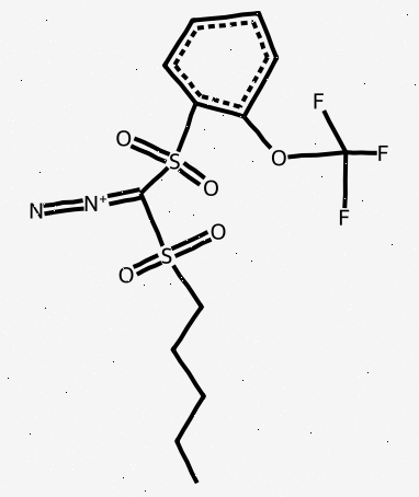 CCCCCS(=O)(=O)C(=[N+]=[N-])S(=O)(=O)c1ccccc1OC(F)(F)F